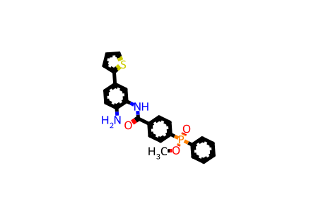 COP(=O)(c1ccccc1)c1ccc(C(=O)Nc2cc(-c3cccs3)ccc2N)cc1